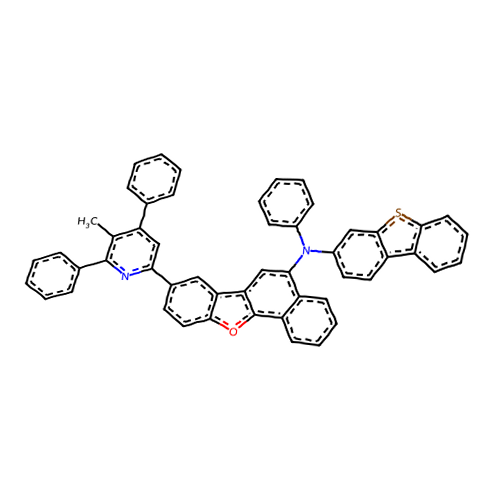 Cc1c(-c2ccccc2)cc(-c2ccc3oc4c5ccccc5c(N(c5ccccc5)c5ccc6c(c5)sc5ccccc56)cc4c3c2)nc1-c1ccccc1